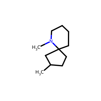 CC1CCC2(CCCCN2C)C1